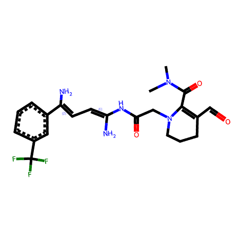 CN(C)C(=O)C1=C(C=O)CCCN1CC(=O)N/C(N)=C/C=C(\N)c1cccc(C(F)(F)F)c1